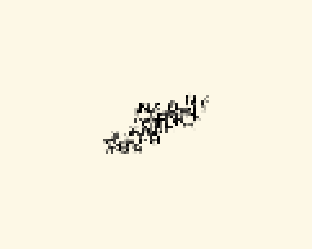 C=CC(=O)N1CCCC(NC(=O)c2sc3nccc4c3c2NC(=O)N4c2ccc(OC3CCC3)cc2)C1